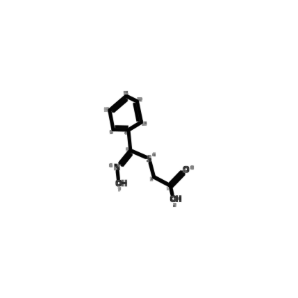 O=C(O)CSC(=NO)c1ccccc1